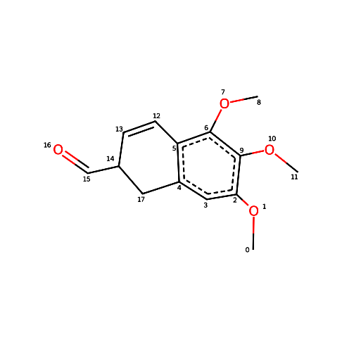 COc1cc2c(c(OC)c1OC)C=CC(C=O)C2